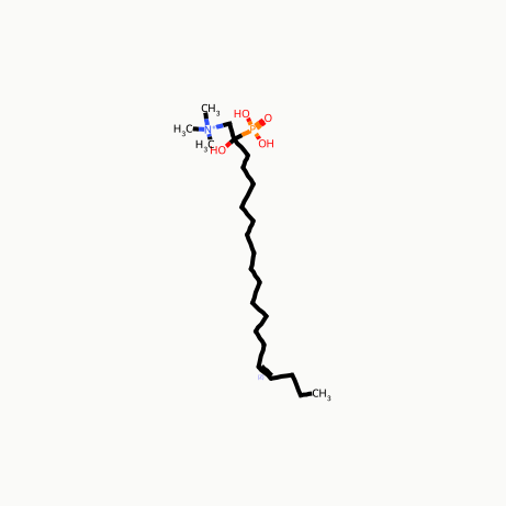 CCC/C=C\CCCCCCCCCCCCCC(O)(C[N+](C)(C)C)P(=O)(O)O